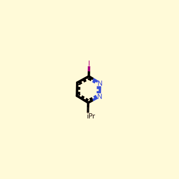 CC(C)c1ccc(I)nn1